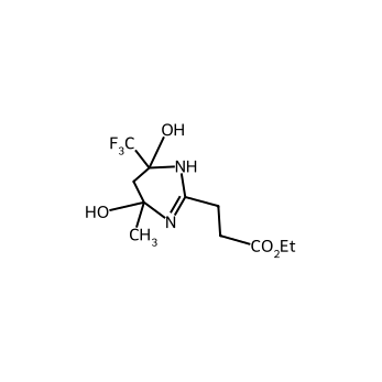 CCOC(=O)CCC1=NC(C)(O)CC(O)(C(F)(F)F)N1